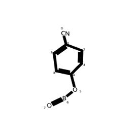 N#Cc1ccc(OB=O)cc1